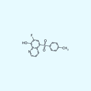 Cc1ccc(S(=O)(=O)c2cc(F)c(O)c3ncccc23)cc1